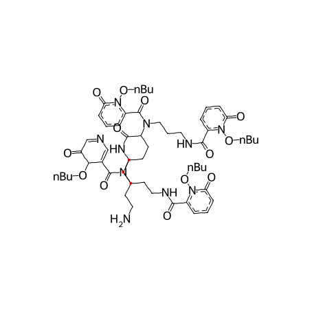 CCCCOC1C(=O)C=NC=C1C(=O)N(CCCNC(=O)c1cccc(=O)n1OCCCC)CCCC(C(=O)NCCCCCN)N(CCCNC(=O)c1cccc(=O)n1OCCCC)C(=O)c1cccc(=O)n1OCCCC